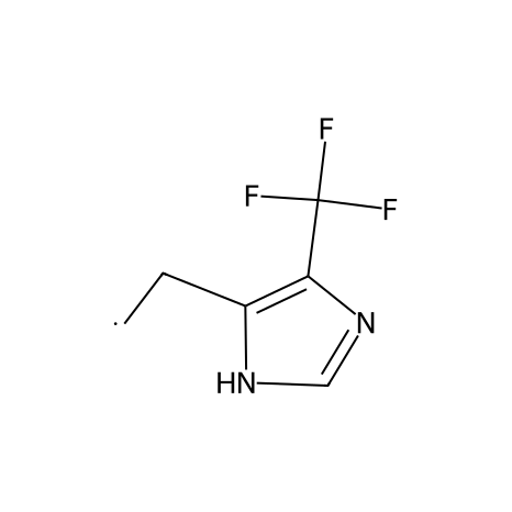 [CH2]Cc1[nH]cnc1C(F)(F)F